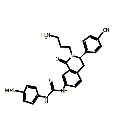 CSc1ccc(NC(=O)Nc2ccc3c(c2)C(=O)N(CCCN)[C@@H](c2ccc(C#N)cc2)C3)cc1